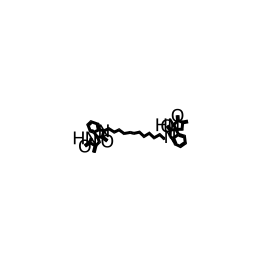 C=C1CC2(NC1=O)C(=O)N(CCCCCCCCCCCCN1C(=O)C3(CC(=C)C(=O)N3)c3ccccc31)c1ccccc12